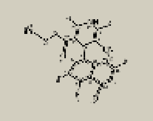 CC1=C(C#N)C(c2cc(F)c(F)c3c(=O)cc(C)oc23)C(C(=O)CCC(C)C)=C(C)N1